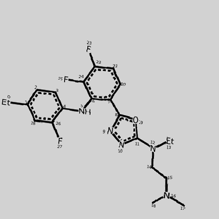 CCc1ccc(Nc2c(-c3nnc(N(CC)CCN(C)C)o3)ccc(F)c2F)c(F)c1